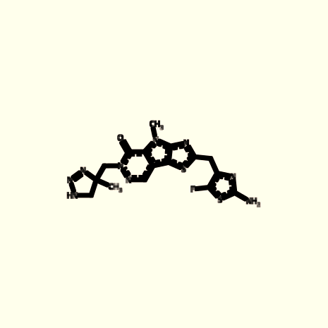 Cn1c2nc(Cc3nc(N)sc3F)sc2c2cnn(CC3(C)CNN=N3)c(=O)c21